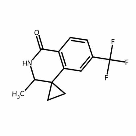 CC1NC(=O)c2ccc(C(F)(F)F)cc2C12CC2